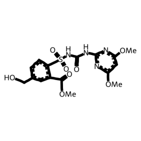 COC(=O)c1cc(CO)ccc1S(=O)(=O)NC(=O)Nc1nc(OC)cc(OC)n1